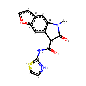 CCN1C(=O)C(C(=O)Nc2nccs2)c2cc3occc3cc21